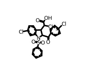 CC(C(=O)O)C1c2ccc(Cl)cc2N(S(=O)(=O)c2ccccc2)C1C(=O)c1ccc(Cl)cc1